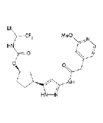 CCC(NC(=O)O[C@@H]1CC[C@H](c2cc(NC(=O)Cc3ccnc(OC)c3)n[nH]2)C1)C(F)(F)F